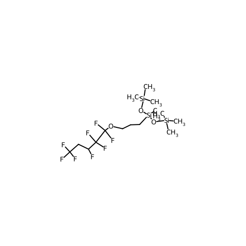 C[Si](C)(C)O[Si](C)(CCCOC(F)(F)C(F)(F)C(F)CC(F)(F)F)O[Si](C)(C)C